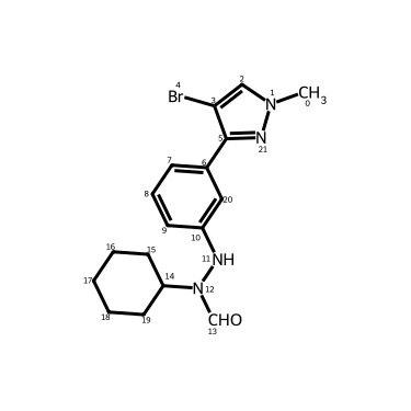 Cn1cc(Br)c(-c2cccc(NN(C=O)C3CCCCC3)c2)n1